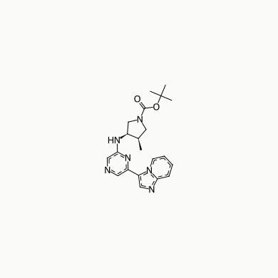 C[C@@H]1CN(C(=O)OC(C)(C)C)C[C@@H]1Nc1cncc(-c2cnc3ccccn23)n1